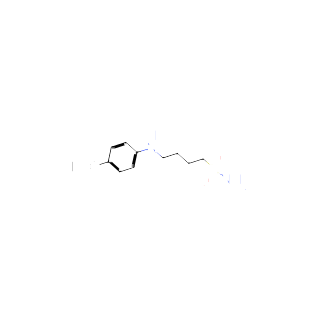 Cc1ccc(NCCCCS(N)(=O)=O)cc1